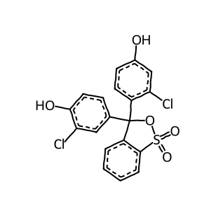 O=S1(=O)OC(c2ccc(O)c(Cl)c2)(c2ccc(O)cc2Cl)c2ccccc21